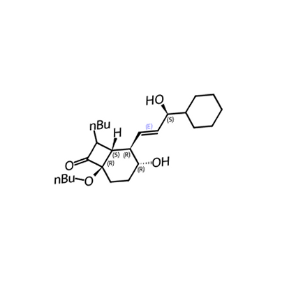 CCCCO[C@]12CC[C@@H](O)[C@H](/C=C/[C@@H](O)C3CCCCC3)[C@H]1C(CCCC)C2=O